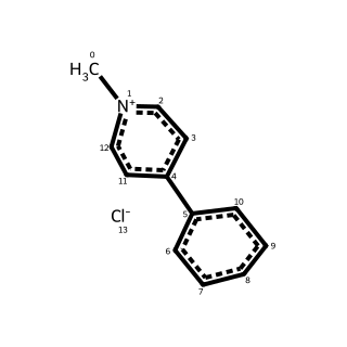 C[n+]1ccc(-c2ccccc2)cc1.[Cl-]